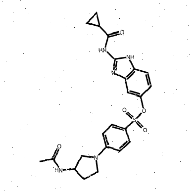 CC(=O)NC1CCN(c2ccc(S(=O)(=O)Oc3ccc4[nH]c(NC(=O)C5CC5)nc4c3)cc2)C1